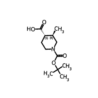 C[C@H]1CN(C(=O)OC(C)(C)C)CC[C@@H]1C(=O)O